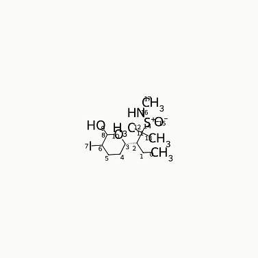 CCC([C@@H]1CCC(I)C(O)O1)C(C)(C)[S+]([O-])NC